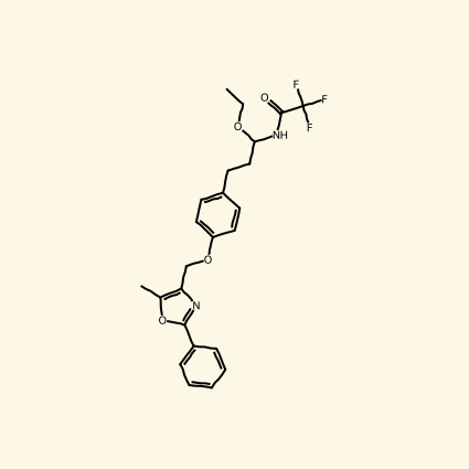 CCOC(CCc1ccc(OCc2nc(-c3ccccc3)oc2C)cc1)NC(=O)C(F)(F)F